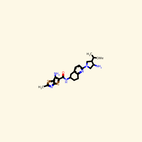 COC(C)C1CN(c2ccc3c(n2)CCC(NC(=O)c2sc4nc(C)sc4c2N)C3)CC1N